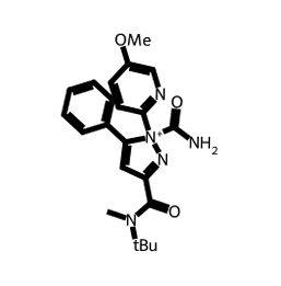 COc1ccc([N+]2(C(N)=O)N=C(C(=O)N(C)C(C)(C)C)C=C2c2ccccc2)nc1